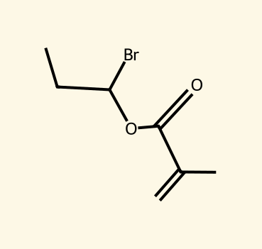 C=C(C)C(=O)OC(Br)CC